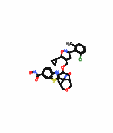 Cc1cccc(Cl)c1C1=NOC(C2CC2)=C(COC2CCC3COCC(C2)C3(N=O)c2nc3ccc(C(=O)N=O)cc3s2)C1